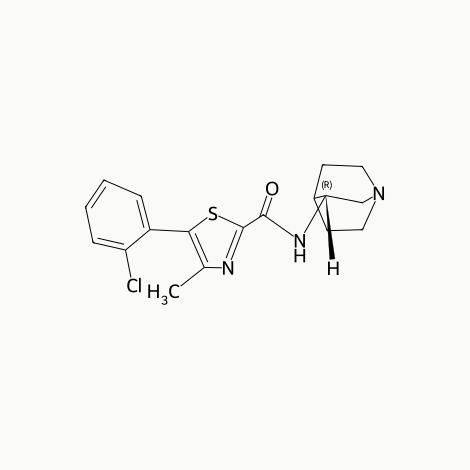 Cc1nc(C(=O)N[C@H]2CN3CCC2CC3)sc1-c1ccccc1Cl